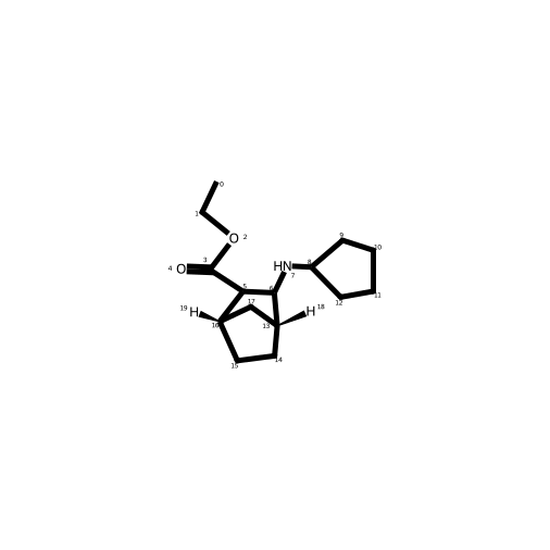 CCOC(=O)C1C(NC2CCCC2)[C@@H]2CC[C@H]1C2